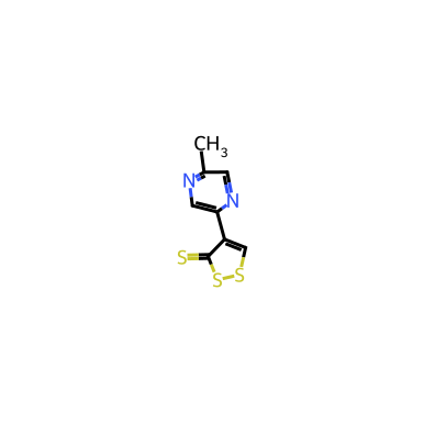 Cc1cnc(-c2cssc2=S)cn1